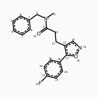 CN(Cc1ccccc1)C(=O)CCc1cnoc1-c1ccc(F)cc1